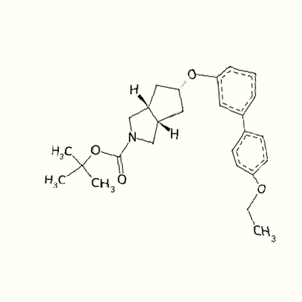 CCOc1ccc(-c2cccc(O[C@@H]3C[C@@H]4CN(C(=O)OC(C)(C)C)C[C@@H]4C3)c2)cc1